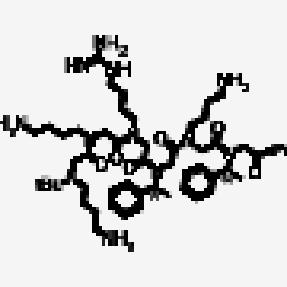 CC(C)C(=O)CN(C(=O)CN(CCCCN)C(=O)CN(C(=O)CN(CCCCNC(=N)N)C(=O)CN(CCCCN)C(=O)CN(CCCCN)C(C)(C)C)[C@@H](C)c1ccccc1)[C@@H](C)c1ccccc1